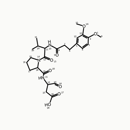 COc1ccc(CCC(=O)NC(C(=O)N2CCCC2C(=O)NC(C=O)CC(=O)O)C(C)C)cc1OC